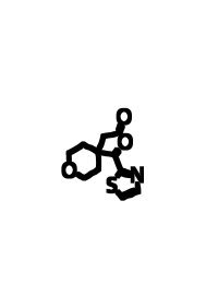 O=CCC1(C(=O)c2nccs2)CCOCC1